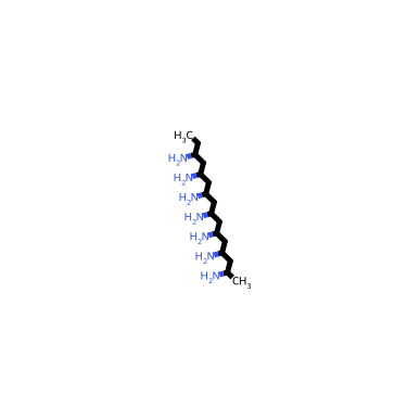 CCC(N)CC(N)CC(N)CC(N)CC(N)CC(N)CC(C)N